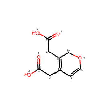 O=C(O)CC1=C(CC(=O)O)COC=C1